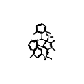 CC1=C(C)[C](C([SiH2]c2cc(C)cc([Si](C)(C)C)c2)c2c(C)cccc2C)([Ti]([CH3])[CH3])C(c2ccccc2)=C1C